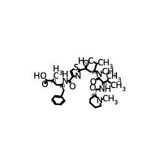 CC(C)[C@H](NC(=O)[C@H]1CCCCN1C)C(=O)N(C)[C@H](CC(=O)c1nc(C(=O)N[C@@H](Cc2ccccc2)C[C@H](C)C(=O)O)cs1)C(C)C